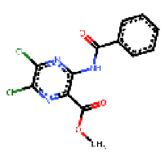 COC(=O)c1nc(Cl)c(Cl)nc1NC(=O)c1ccccc1